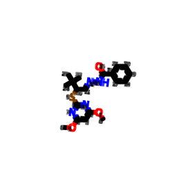 COc1cc(OC)nc(SC(C=NNC(=O)c2ccccc2)C(C)(C)C)n1